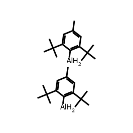 Cc1cc(C(C)(C)C)[c]([AlH2])c(C(C)(C)C)c1.Cc1cc(C(C)(C)C)[c]([AlH2])c(C(C)(C)C)c1